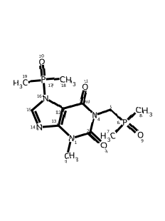 Cn1c(=O)n(CP(C)(C)=O)c(=O)c2c1ncn2P(C)(C)=O